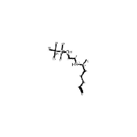 C=CCCC[C@H](C)NCCO[Si](C)(C)C(C)(C)C